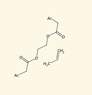 C=CC.CC(=O)CC(=O)OCCOC(=O)CC(C)=O